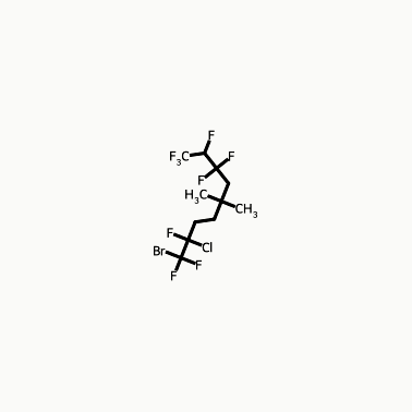 CC(C)(CCC(F)(Cl)C(F)(F)Br)CC(F)(F)C(F)C(F)(F)F